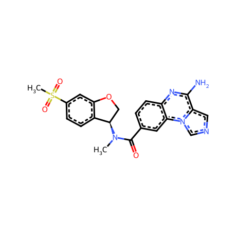 CN(C(=O)c1ccc2nc(N)c3cncn3c2c1)[C@@H]1COc2cc(S(C)(=O)=O)ccc21